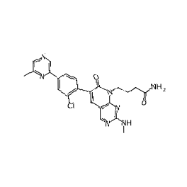 CNc1ncc2cc(-c3ccc(-c4cncc(C)n4)cc3Cl)c(=O)n(CCCC(N)=O)c2n1